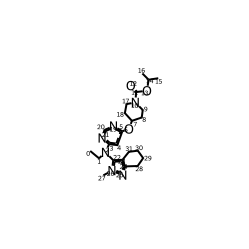 CCN(c1cc(OC2CCN(C(=O)OC(C)C)CC2)ncn1)c1c2c(nn1C)CCCC2